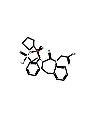 CC(Cc1ccccc1)OP(=O)(O)CN(C(=O)C1CCCC1)[C@H]1CCc2ccccc2N(CC(=O)O)C1=O